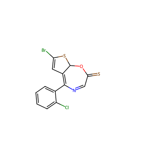 S=C1C=NC(c2ccccc2Cl)=C2C=C(Br)SC2O1